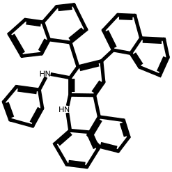 c1ccc(Nc2c(-c3ccccc3)cc(-c3cccc4ccccc34)c(-c3cccc4ccccc34)c2Nc2ccccc2)cc1